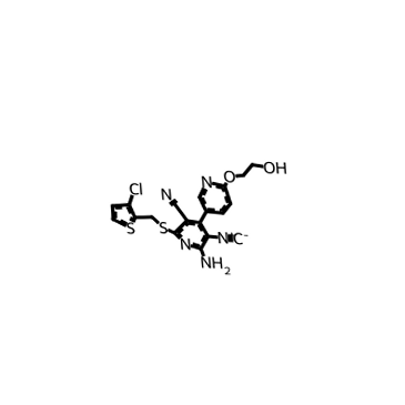 [C-]#[N+]c1c(N)nc(SCc2sccc2Cl)c(C#N)c1-c1ccc(OCCO)nc1